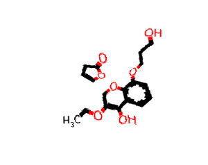 CCOC1=C(O)c2cccc(OCCCO)c2OC1.O=C1CC=CO1